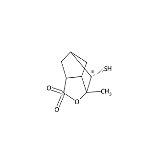 CC12OS(=O)(=O)C3CC(CC31)[C@@H]2S